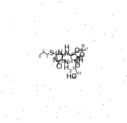 CCCSc1nc(Cl)c(N)c(NC2=C3OC(C)(C)O[C@@H]3[C@@H](OCCO)C2)n1